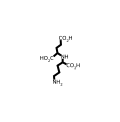 NCCCC(NC(CCC(=O)O)C(=O)O)C(=O)O